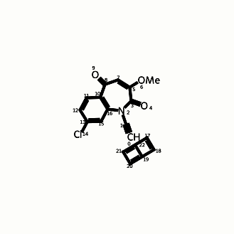 C#Cn1c(=O)c(OC)cc(=O)c2ccc(Cl)cc21.c1cc2ccc1-2